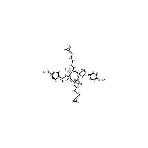 CC(=O)Oc1ccc(CC[Si]2(C)O[Si](C)(CCCOCC3CO3)O[Si](C)(CCc3ccc(OC(C)=O)cc3)O[Si](C)(CCCOC3CO3)O2)cc1